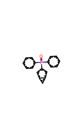 O=P(c1ccccc1)(c1ccccc1)c1cc2cc-2c1